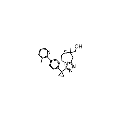 Cc1cccnc1-c1ccc(C2(c3nnc4n3CCSC(C)(CO)C4)CC2)cc1